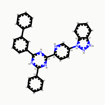 c1ccc(-c2cccc(-c3nc(-c4ccccc4)nc(-c4ccc(-n5nnc6ccccc65)cn4)n3)c2)cc1